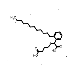 CCCCCCCCCCCCc1ccccc1C(SCCCC(=O)O)C(=O)O